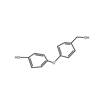 OCc1ccc(Oc2ccc(O)cc2)cc1